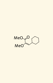 COC(=O)C(=CC1CCCCC1)OC